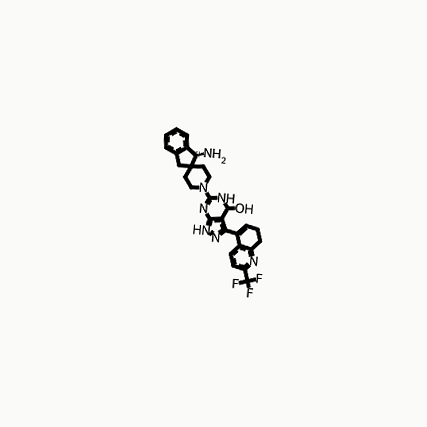 N[C@@H]1c2ccccc2CC12CCN(C1=Nc3[nH]nc(C4=CCCc5nc(C(F)(F)F)ccc54)c3C(O)N1)CC2